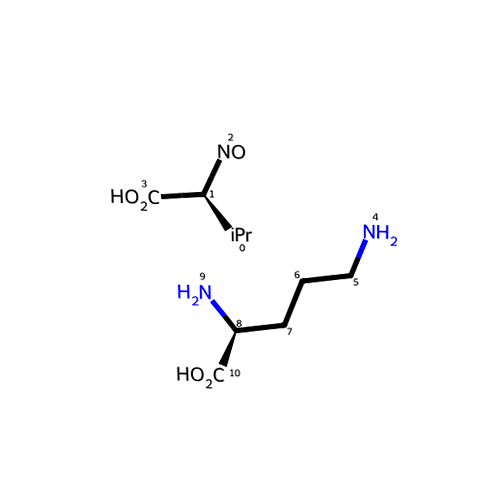 CC(C)[C@H](N=O)C(=O)O.NCCC[C@H](N)C(=O)O